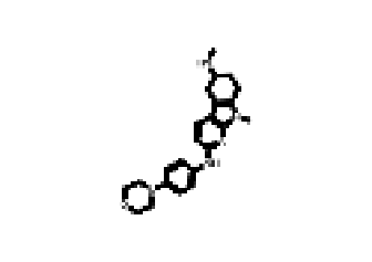 CNC1CCc2c(c3ccc(Nc4ccc(N5CCOCC5)cc4)nc3n2C)C1